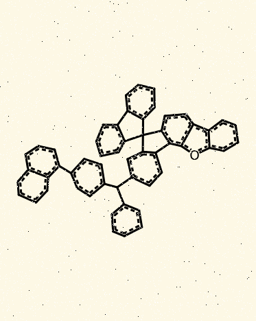 c1ccc(C(c2ccc(-c3cccc4ccccc34)cc2)c2ccc3c(c2)C2(c4ccccc4-c4ccccc42)c2ccc4c(oc5ccccc54)c2-3)cc1